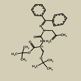 C=C(C)CN(N=C(c1ccccc1)c1ccccc1)C(=O)N[C@@H](COC(C)(C)C)C(=O)OC(C)(C)C